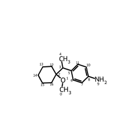 COC1(C(C)c2ccc(N)cc2)CCCCC1